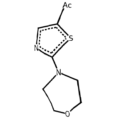 CC(=O)c1cnc(N2CCOCC2)s1